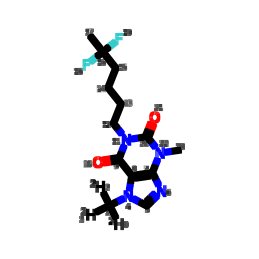 [2H]C([2H])([2H])n1cnc2c1c(=O)n(CCCCC(C)(F)F)c(=O)n2C